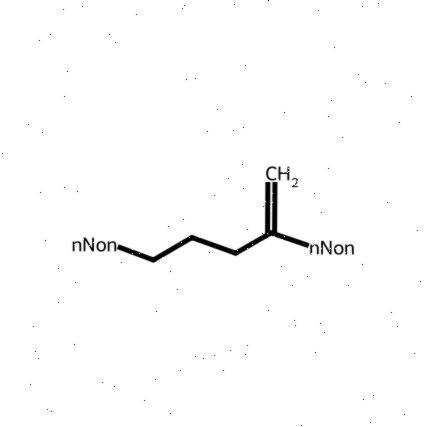 C=C(CCCCCCCCC)CCCCCCCCCCCC